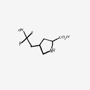 CCCC(F)(F)CC1CNC(C(=O)O)C1